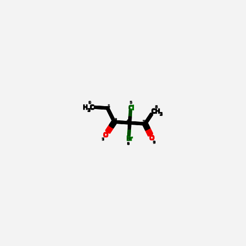 CCC(=O)C(Cl)(Br)C(C)=O